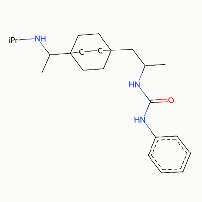 CC(C)NC(C)C12CCC(CC(C)NC(=O)Nc3ccccc3)(CC1)CC2